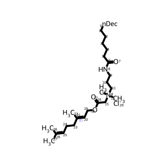 CCCCCCCCCCCCCCCC(=O)NCCC[N+](C)(C)CC(=O)OC/C=C(\C)CCC=C(C)C.[Cl-]